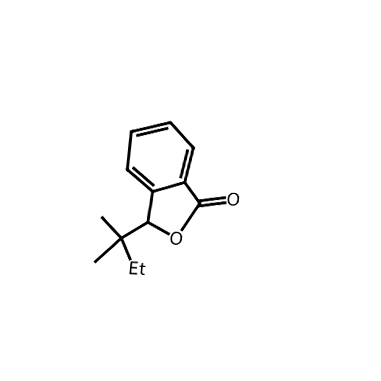 CCC(C)(C)C1OC(=O)c2ccccc21